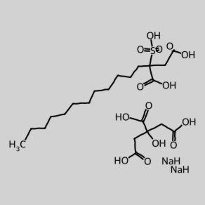 CCCCCCCCCCCCC(CC(=O)O)(C(=O)O)S(=O)(=O)O.O=C(O)CC(O)(CC(=O)O)C(=O)O.[NaH].[NaH]